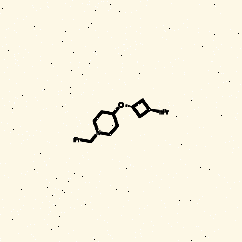 CCC[C@H]1C[C@H](OC2CCN(CC(C)C)CC2)C1